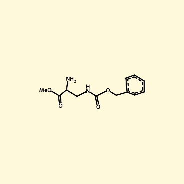 COC(=O)C(N)CNC(=O)OCc1ccccc1